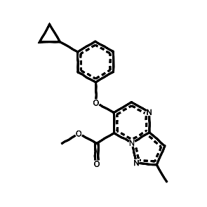 COC(=O)c1c(Oc2cccc(C3CC3)c2)cnc2cc(C)nn12